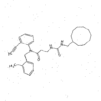 C#Cc1ccccc1N(Cc1ccccc1C)C(=O)CCNC(=O)NCC1CCCCCCCCC1